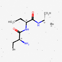 CC[C@H](C)[C@H](NC(=O)[C@H](CC(=O)O)NC(=O)[C@@H](N)CC(C)C)C(=O)O